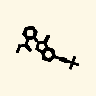 COC(=O)c1ccccc1N1Cc2ccc(C#C[Si](C)(C)C)cc2C1=O